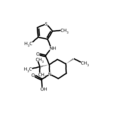 CC[C@@H]1CCN(C(=O)O)[C@](C(=O)Nc2c(C)csc2C)(C(C)(C)C)C1